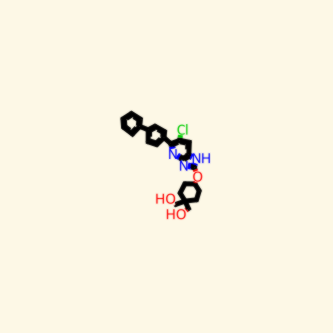 OCC1(CO)CCC(Oc2nc3nc(-c4ccc(-c5ccccc5)cc4)c(Cl)cc3[nH]2)CC1